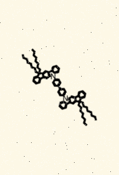 CCCCCCCCC1(CCCCCCCC)c2ccccc2-c2cc3c(cc21)c1ccccc1n3-c1ccc(-c2ccc(-n3c4ccccc4c4cc5c(cc43)-c3ccccc3C5(CCCCCCCC)CCCCCCCC)cc2)cc1